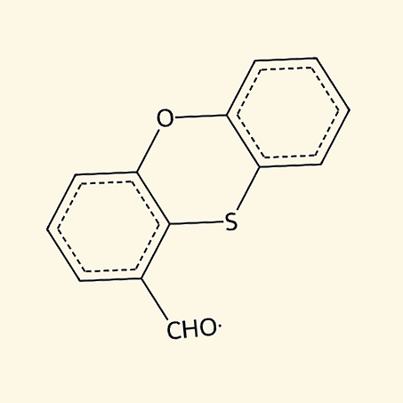 O=[C]c1cccc2c1Sc1ccccc1O2